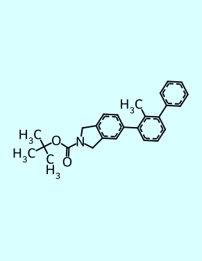 Cc1c(-c2ccccc2)cccc1-c1ccc2c(c1)CN(C(=O)OC(C)(C)C)C2